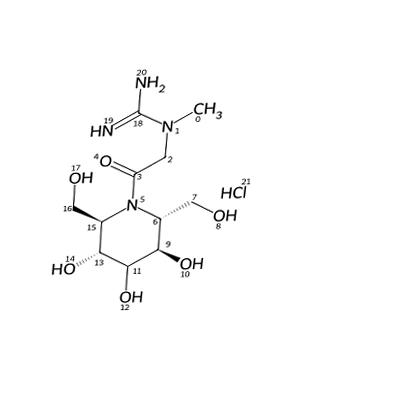 CN(CC(=O)N1[C@H](CO)[C@@H](O)C(O)[C@H](O)[C@H]1CO)C(=N)N.Cl